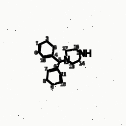 C1=CCCC(C(C2=CCCC=C2)N2CCNCC2)=C1